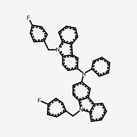 Fc1ccc(Cn2c3ccccc3c3cc(N(c4ccccc4)c4ccc5c(c4)c4ccccc4n5Cc4ccc(F)cc4)ccc32)cc1